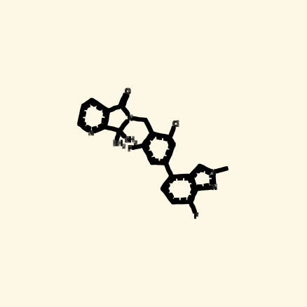 BC1(B)c2ncccc2C(=O)N1Cc1c(F)cc(-c2ccc(F)c3nn(C)cc23)cc1Cl